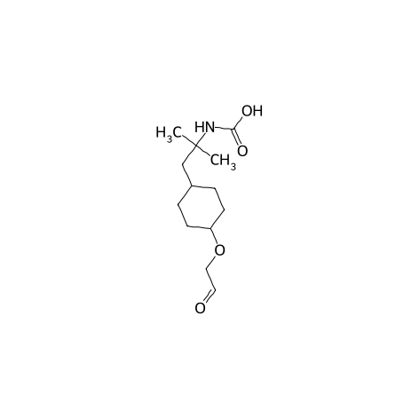 CC(C)(CC1CCC(OCC=O)CC1)NC(=O)O